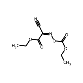 CCOC(=O)ON=C(C#N)C(=O)OCC